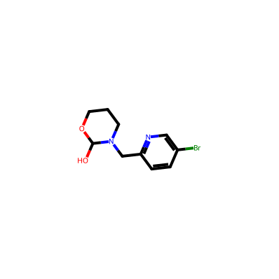 OC1OCCCN1Cc1ccc(Br)cn1